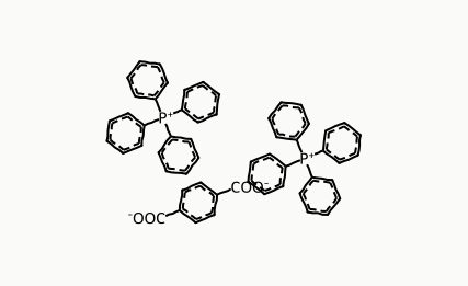 O=C([O-])c1ccc(C(=O)[O-])cc1.c1ccc([P+](c2ccccc2)(c2ccccc2)c2ccccc2)cc1.c1ccc([P+](c2ccccc2)(c2ccccc2)c2ccccc2)cc1